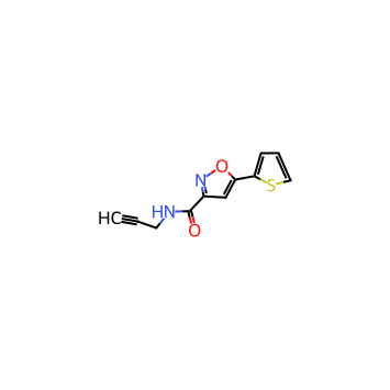 C#CCNC(=O)c1cc(-c2cccs2)on1